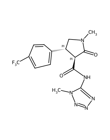 CN1C[C@@H](c2ccc(C(F)(F)F)cc2)[C@H](C(=O)Nc2nnnn2C)C1=O